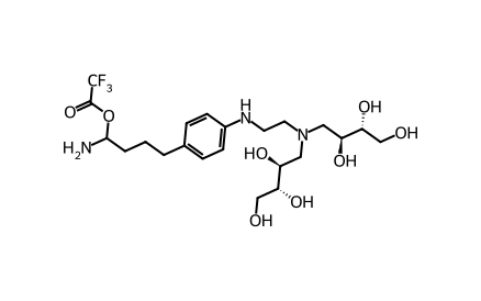 NC(CCCc1ccc(NCCN(C[C@H](O)[C@H](O)CO)C[C@H](O)[C@H](O)CO)cc1)OC(=O)C(F)(F)F